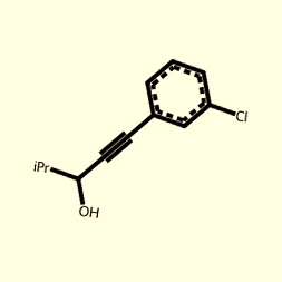 CC(C)C(O)C#Cc1cccc(Cl)c1